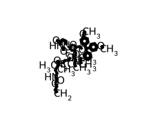 C=CCOC(=O)NCCC(C)(C)C(=O)SCCOP(OC1C(COC(c2ccccc2)(c2ccc(OC)cc2)c2ccc(OC)cc2)OC(n2ccc(=O)[nH]c2=O)C1F)N(C(C)C)C(C)C